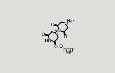 O=C([O-])[O-].O=C1COCC(=O)N1.O=C1COCC(=O)N1.[Na+].[Na+]